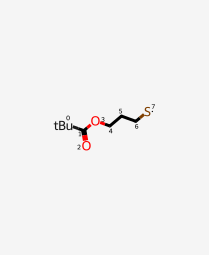 CC(C)(C)C(=O)OCCC[S]